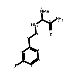 CNC(NCCc1cccc(F)c1)C(N)=O